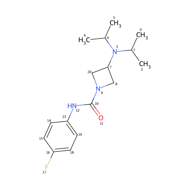 CC(C)N(C(C)C)C1CN(C(=O)Nc2ccc(F)cc2)C1